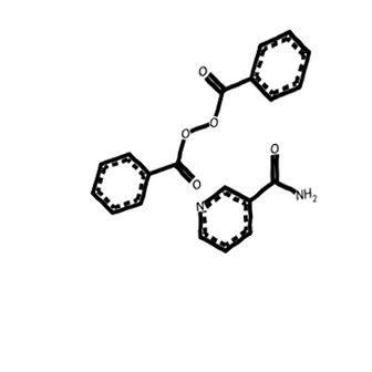 NC(=O)c1cccnc1.O=C(OOC(=O)c1ccccc1)c1ccccc1